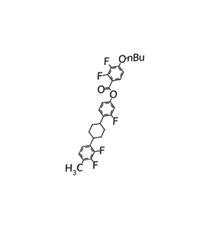 CCCCOc1ccc(C(=O)Oc2ccc(C3CCC(c4ccc(C)c(F)c4F)CC3)c(F)c2)c(F)c1F